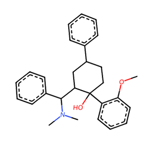 COc1ccccc1C1(O)CCC(c2ccccc2)CC1C(c1ccccc1)N(C)C